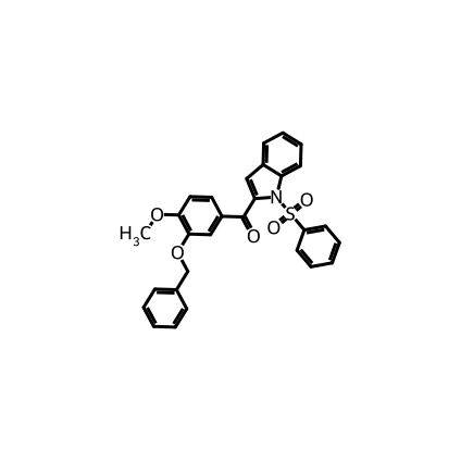 COc1ccc(C(=O)c2cc3ccccc3n2S(=O)(=O)c2ccccc2)cc1OCc1ccccc1